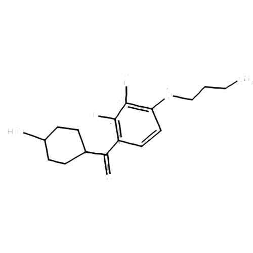 CCCCOc1ccc(C(=O)C2CCC(C)CC2)c(F)c1F